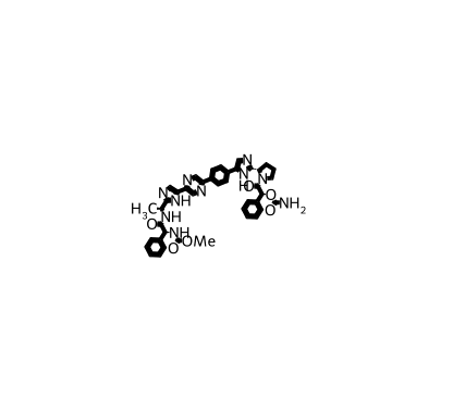 COC(=O)N[C@@H](C(=O)N[C@@H](C)c1ncc(-c2cnc(-c3ccc(-c4cnc([C@@H]5CCCN5C(=O)[C@H](OC(N)=O)c5ccccc5)[nH]4)cc3)cn2)[nH]1)c1ccccc1